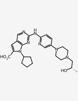 C[C@H](O)CN1CCN(c2ccc(Nc3ncc4cc(C(=O)O)n(C5CCCC5)c4n3)nc2)CC1